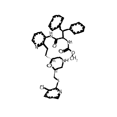 COC(=O)NC(C(=O)Nc1cccnc1CC[C@@H]1CNC[C@@H](CSc2ncccc2Cl)O1)C(c1ccccc1)c1ccccc1